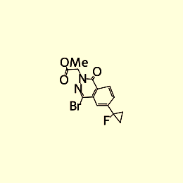 COC(=O)Cn1nc(Br)c2cc(C3(F)CC3)ccc2c1=O